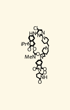 CNC(=O)COc1cc2cc(Nc3nc(N4CCC(CN5CCC6(CC5)CN(c5ccc7c(c5)C(=O)N(C5CCC(=O)NC5=O)C7=O)C6)CC4)ncc3Cl)ccc2n(C(C)C)c1=O